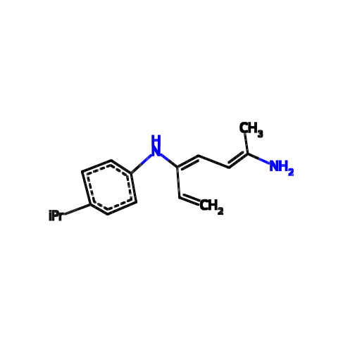 C=C/C(=C\C=C(/C)N)Nc1ccc(C(C)C)cc1